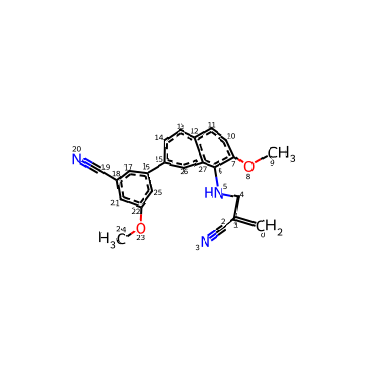 C=C(C#N)CNc1c(OC)ccc2ccc(-c3cc(C#N)cc(OC)c3)cc12